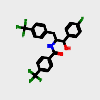 O=C(NC(Cc1ccc(C(F)(F)F)cc1)C(O)c1ccc(F)cc1)c1ccc(C(F)(F)F)cc1